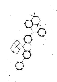 CC1(C)CCC(C)(C)c2c(N(c3ccccc3)c3ccc4c(c3)Oc3ccc(-c5ccccc5)cc3C43C4CC5CC6CC3C64C5)cccc21